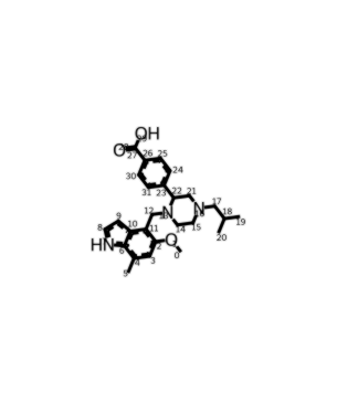 COc1cc(C)c2[nH]ccc2c1CN1CCN(CC(C)C)CC1c1ccc(C(=O)O)cc1